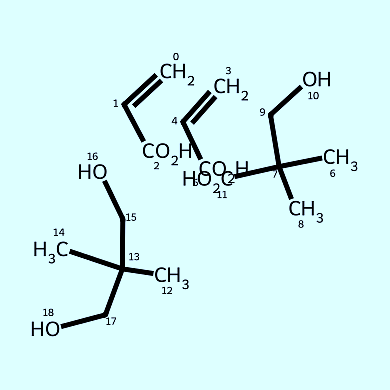 C=CC(=O)O.C=CC(=O)O.CC(C)(CO)C(=O)O.CC(C)(CO)CO